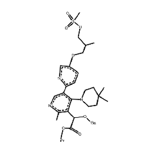 Cc1ncc(-c2ccc(OCC(C)COS(C)(=O)=O)cn2)c(N2CCC(C)(C)CC2)c1C(OC(C)(C)C)C(=O)OC(C)C